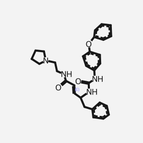 O=C(/C=C/C(Cc1ccccc1)NC(=O)Nc1ccc(Oc2ccccc2)cc1)NCCN1CCCC1